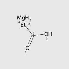 CCC(=O)O.[MgH2]